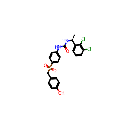 C[C@H](NC(=O)Nc1ccc(S(=O)(=O)Cc2ccc(O)cc2)cc1)c1cccc(Cl)c1Cl